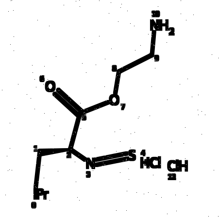 CC(C)C[C@H](N=S)C(=O)OCCN.Cl.Cl